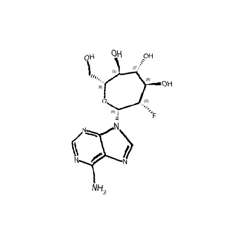 Nc1ncnc2c1ncn2[C@@H]1O[C@H](CO)[C@@H](O)[C@H](O)[C@@H](O)[C@@H]1F